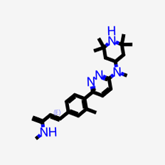 C=C(/C=C/c1ccc(-c2ccc(N(C)C3CC(C)(C)NC(C)(C)C3)nn2)c(C)c1)NC